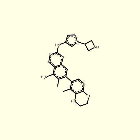 Cc1c(-c2cc3nc(Nc4cnn(C5CNC5)c4)ncc3c(N)c2F)cnc2c1NCCO2